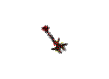 CCCCSc1cc2c(cc1OCCCCCCCCCCCCCCCCCC[Si](OCC)(OCC)OCC)c1cc(SCCCC)c(SCCCC)cc1c1cc(SCCCC)c(SCCCC)cc21